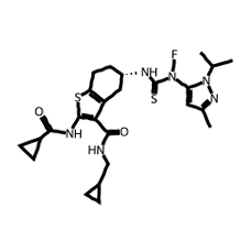 Cc1cc(N(F)C(=S)N[C@H]2CCc3sc(NC(=O)C4CC4)c(C(=O)NCC4CC4)c3C2)n(C(C)C)n1